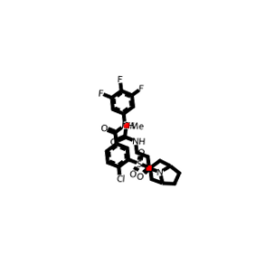 COC(=O)NCCC(=O)N1C2CCC1CC(S(=O)(=O)c1cc(C(=O)Nc3cc(F)c(F)c(F)c3)ccc1Cl)C2